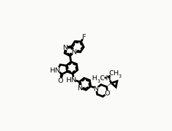 CN(C)C1([C@H]2CN(c3ccc(Nc4ccc(-c5cnc6cc(F)ccn56)c5c4C(=O)NC5)nc3)CCO2)CC1